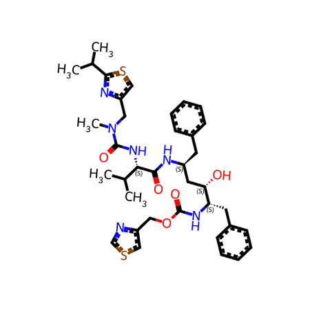 CC(C)c1nc(CN(C)C(=O)N[C@H](C(=O)N[C@@H](Cc2ccccc2)C[C@H](O)[C@H](Cc2ccccc2)NC(=O)OCc2cscn2)C(C)C)cs1